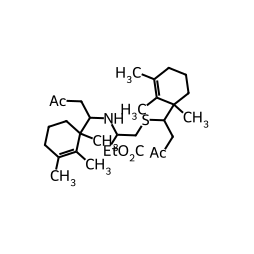 CCOC(=O)C(CSC(CC(C)=O)C1(C)CCCC(C)=C1C)NC(CC(C)=O)C1(C)CCCC(C)=C1C